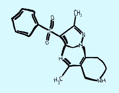 Cc1nc2c(S(=O)(=O)c3ccccc3)c(C)nn2c2c1CNCC2